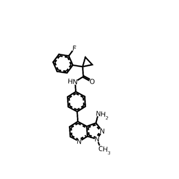 Cn1nc(N)c2c(-c3ccc(NC(=O)C4(c5ccccc5F)CC4)cc3)ccnc21